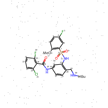 COc1ccc(F)cc1S(=O)(=O)Nc1cc(NC(=O)c2c(F)cccc2Cl)ccc1CNC(C)(C)C